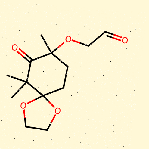 CC1(OCC=O)CCC2(OCCO2)C(C)(C)C1=O